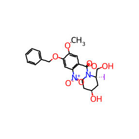 COc1cc(C(=O)N2CC[C@H](O)C[C@]2(I)C(=O)O)c([N+](=O)[O-])cc1OCc1ccccc1